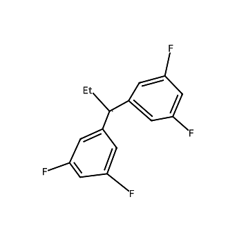 CC[C](c1cc(F)cc(F)c1)c1cc(F)cc(F)c1